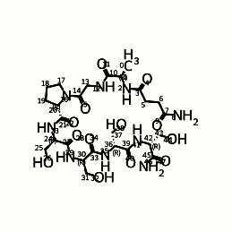 C[C@@H](NC(=O)CCC(N)=O)C(=O)NCC(=O)N1CCC[C@H]1C(=O)N[C@H](CO)C(=O)N[C@H](CO)C(=O)N[C@H](CO)C(=O)N[C@H](CO)C(N)=O